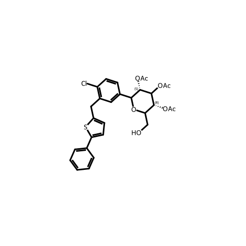 CC(=O)OC1[C@H](OC(C)=O)C(CO)OC(c2ccc(Cl)c(Cc3ccc(-c4ccccc4)s3)c2)[C@@H]1OC(C)=O